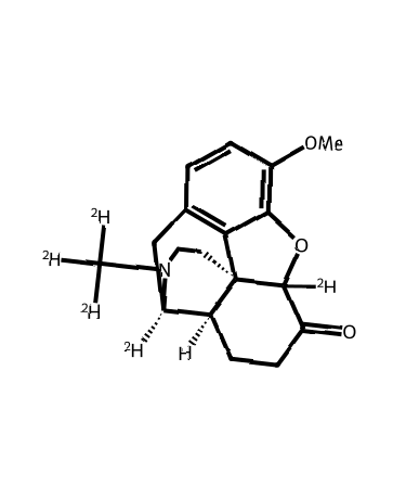 [2H]C([2H])([2H])N1CC[C@]23c4c5ccc(OC)c4OC2([2H])C(=O)CC[C@H]3[C@@]1([2H])C5